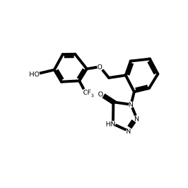 O=c1[nH]nnn1-c1ccccc1COc1ccc(O)cc1C(F)(F)F